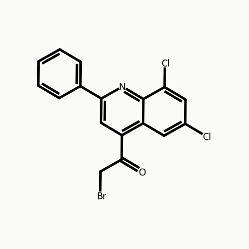 O=C(CBr)c1cc(-c2ccccc2)nc2c(Cl)cc(Cl)cc12